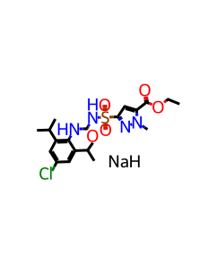 CCOC(=O)c1cc(S(=O)(=O)NC(=O)Nc2c(C(C)C)cc(Cl)cc2C(C)C)nn1C.[NaH]